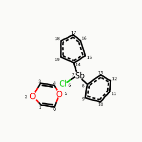 C1=COC=CO1.[Cl][Sb]([c]1ccccc1)[c]1ccccc1